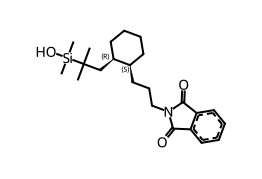 CC(C)(C[C@H]1CCCC[C@H]1CCCN1C(=O)c2ccccc2C1=O)[Si](C)(C)O